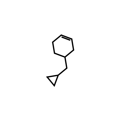 C1=CCC(CC2CC2)CC1